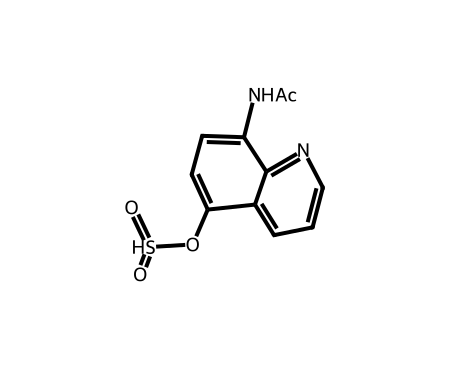 CC(=O)Nc1ccc(O[SH](=O)=O)c2cccnc12